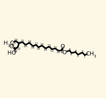 CCCCCCCOC(=O)CCCCCCCCCCCCC(CC)CC(=O)O